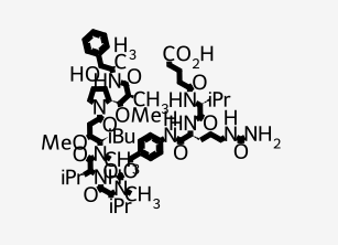 CC[C@@H](C)C(C(CC(=O)N1CCC[C@@H]1C(OC)[C@H](C)C(=O)N[C@@H](C)[C@H](O)c1ccccc1)OC)N(C)C(=O)C(NC(=O)C(C(C)C)N(C)C(=O)OCc1ccc(NC(=O)[C@@H](CCCNC(N)=O)NC(=O)[C@H](NC(=O)CCCC(=O)O)C(C)C)cc1)C(C)C